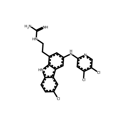 N=C(N)NCCc1cc(Nc2cc(Cl)c(Cl)cn2)cc2c1[nH]c1ccc(Cl)cc12